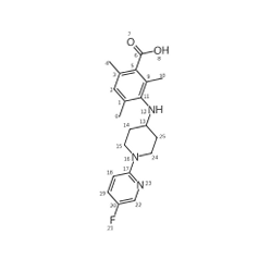 Cc1cc(C)c(C(=O)O)c(C)c1NC1CCN(c2ccc(F)cn2)CC1